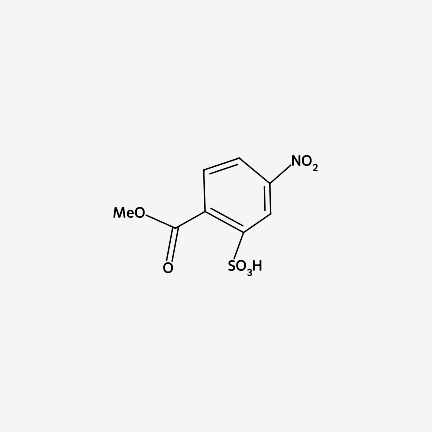 COC(=O)c1ccc([N+](=O)[O-])cc1S(=O)(=O)O